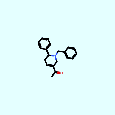 CC(=O)C1=CCC(c2ccccc2)N(Cc2ccccc2)C1